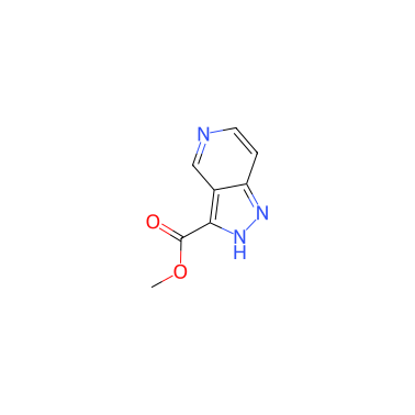 COC(=O)c1[nH]nc2ccncc12